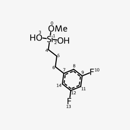 CO[Si](O)(O)CCCc1cc(F)cc(F)c1